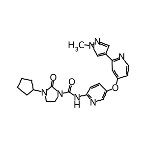 Cn1cc(-c2cc(Oc3ccc(NC(=O)N4CCN(C5CCCC5)C4=O)nc3)ccn2)cn1